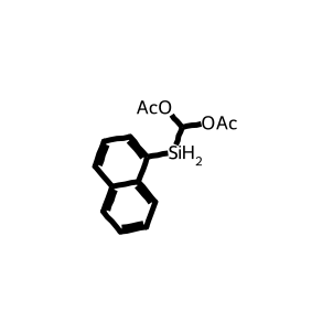 CC(=O)OC(OC(C)=O)[SiH2]c1cccc2ccccc12